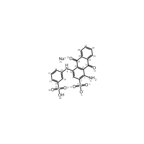 Nc1c(S(=O)(=O)[O-])cc(Nc2cccc(S(=O)(=O)O)c2)c2c1C(=O)c1ccccc1C2=O.[Na+]